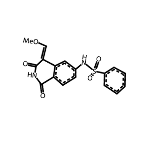 COC=C1C(=O)NC(=O)c2ccc(NS(=O)(=O)c3ccccc3)cc21